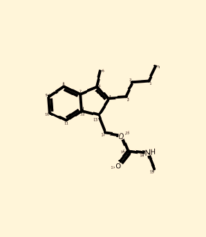 CCCCC1=C(C)c2ccccc2C1COC(=O)NC